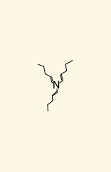 CCCC=CN(C=CCCC)C=CCCC